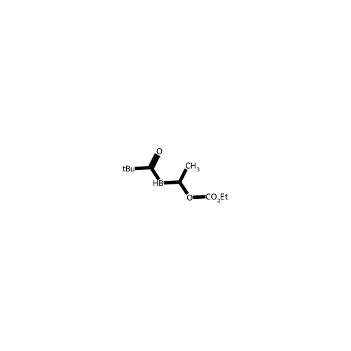 CCOC(=O)OC(C)BC(=O)C(C)(C)C